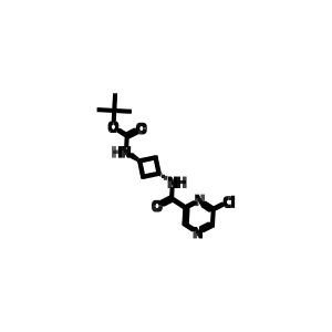 CC(C)(C)OC(=O)N[C@H]1C[C@H](NC(=O)c2cncc(Cl)n2)C1